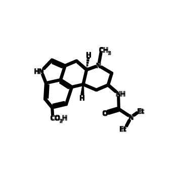 CCN(CC)C(=O)NC1C[C@@H]2c3cc(C(=O)O)cc4[nH]cc(c34)C[C@H]2N(C)C1